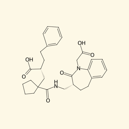 O=C(O)CN1C(=O)[C@@H](CNC(=O)C2(C[C@@H](CCc3ccccc3)C(=O)O)CCCC2)CCc2ccccc21